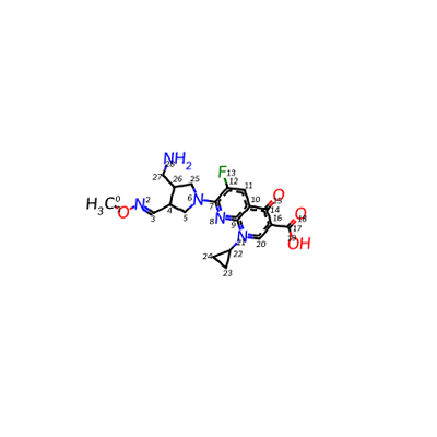 CO/N=C/C1CN(c2nc3c(cc2F)c(=O)c(C(=O)O)cn3C2CC2)CC1CN